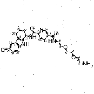 NCCOCCOCCNC(=O)c1ccc(C(=O)NC2CCCc3c2[nH]c2ccc(Cl)cc32)nc1